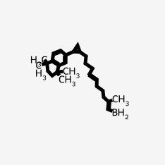 B/C=C(\C)CCC/C=C/CCCC1CC1c1ccc2c(c1)C(C)(C)CCC2(C)C